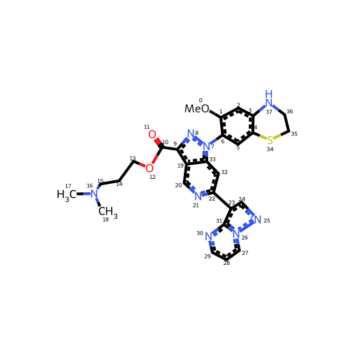 COc1cc2c(cc1-n1nc(C(=O)OCCCN(C)C)c3cnc(-c4cnn5cccnc45)cc31)SCCN2